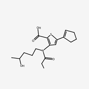 CCC(=O)N(CCCC(C)O)c1cc(C2=CCCC2)sc1C(=O)O